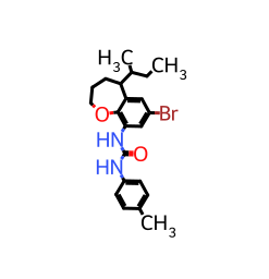 CCC(C)C1CCCOc2c(NC(=O)Nc3ccc(C)cc3)cc(Br)cc21